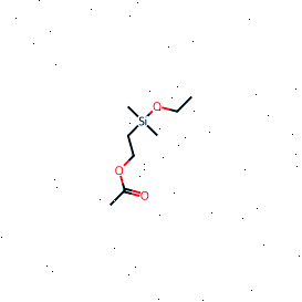 CCO[Si](C)(C)CCOC(C)=O